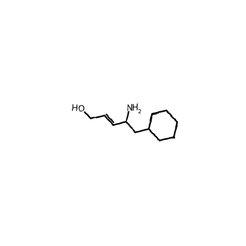 NC(C=CCO)CC1CCCCC1